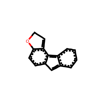 C1=c2ccccc2=c2c1ccc1c2=CCO1